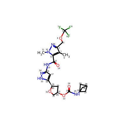 Cc1c(COC(F)(F)F)nn(C)c1C(=O)Nc1cc([C@H]2C[C@@H](OC(=O)NC34CC(C3)C4)CO2)[nH]n1